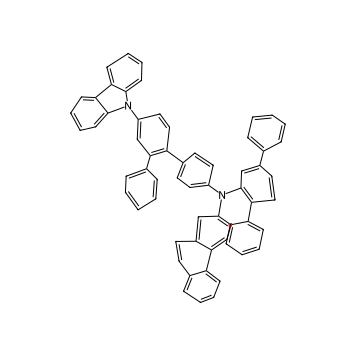 c1ccc(-c2ccc(-c3ccccc3)c(N(c3ccc(-c4ccc(-n5c6ccccc6c6ccccc65)cc4-c4ccccc4)cc3)c3ccc4c(ccc5ccccc54)c3)c2)cc1